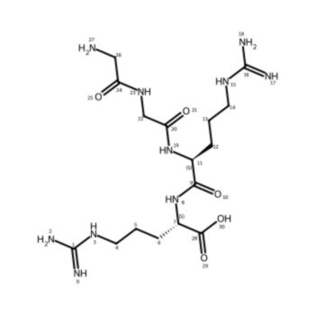 N=C(N)NCCC[C@H](NC(=O)[C@H](CCCNC(=N)N)NC(=O)CNC(=O)CN)C(=O)O